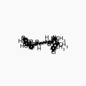 Cc1sc2c(c1C)C(c1ccc(Cl)cc1)=N[C@@H](CC(=O)NCCCCNC(=O)COc1cccc3c1C(=O)N(C1CCC(=O)NC1=O)C3O)c1nnc(C)n1-2